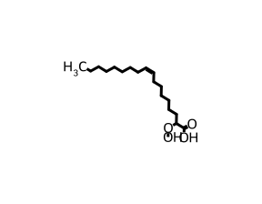 CCCCCCCC/C=C\CCCCCCC(OO)C(=O)O